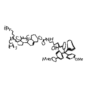 COc1ccc(C(OCCC(O)CCNC(=O)O[C@H]2CC[C@@]3(C)C(=CCC4C3CC[C@@]3(C)C4CC[C@@H]3[C@H](C)CCCC(C)C)C2)(c2ccccc2)c2ccc(OC)cc2)cc1